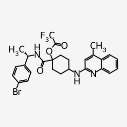 Cc1cc(NC2CCC(OC(=O)C(F)(F)F)(C(=O)N[C@H](C)c3ccc(Br)cc3)CC2)nc2ccccc12